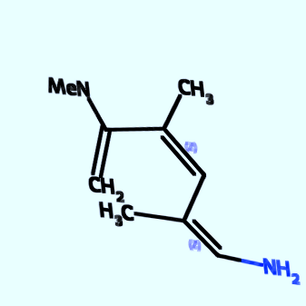 C=C(NC)/C(C)=C\C(C)=C/N